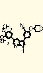 COc1ccc(-c2cnc3[nH]cc(-c4ccc(OC5CCOCC5)c(C#N)c4)c3c2)cc1OC